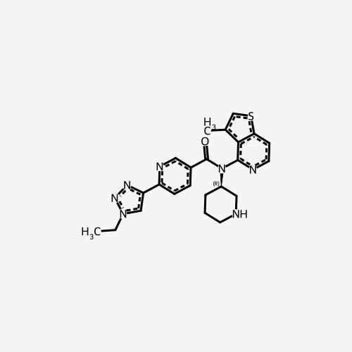 CCn1cc(-c2ccc(C(=O)N(c3nccc4scc(C)c34)[C@@H]3CCCNC3)cn2)nn1